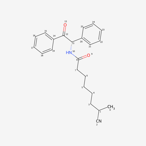 CC(C#N)CCCCCC(=O)N[C@H](C(=O)c1ccccc1)c1ccccc1